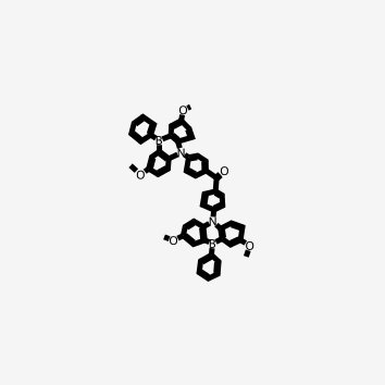 COc1ccc2c(c1)B(c1ccccc1)c1cc(OC)ccc1N2c1ccc(C(=O)c2ccc(N3c4ccc(OC)cc4B(c4ccccc4)c4cc(OC)ccc43)cc2)cc1